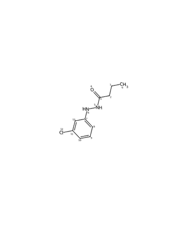 CCCC(=O)NNc1cccc(Cl)c1